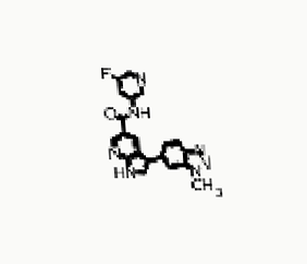 Cn1nnc2ccc(-c3c[nH]c4ncc(C(=O)Nc5cncc(F)c5)cc34)cc21